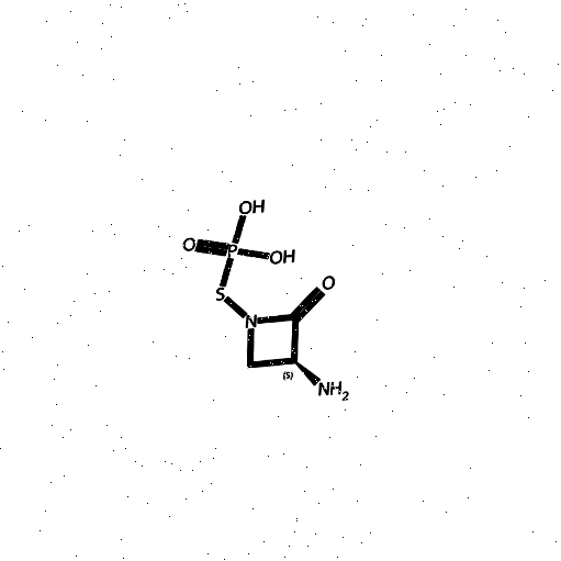 N[C@H]1CN(SP(=O)(O)O)C1=O